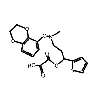 CN(CCC(OC(=O)C(=O)O)c1cccs1)Oc1cccc2c1OCCO2